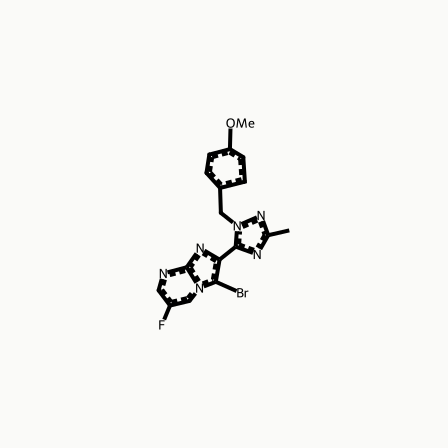 COc1ccc(Cn2nc(C)nc2-c2nc3ncc(F)cn3c2Br)cc1